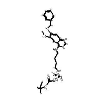 COc1cc2c(NCCCCNS(=O)(=O)NC(=O)OC(C)(C)C)ncnc2cc1OCc1ccccc1